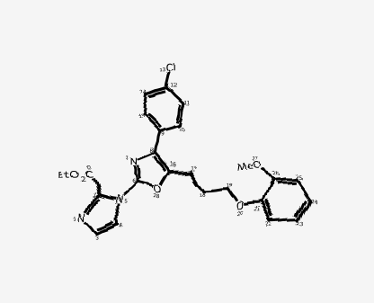 CCOC(=O)c1nccn1-c1nc(-c2ccc(Cl)cc2)c(CCCOc2ccccc2OC)o1